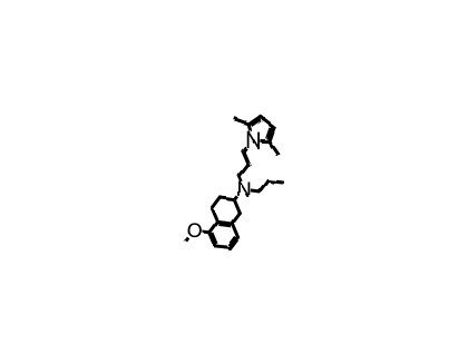 CCCN(CCCn1c(C)ccc1C)C1CCc2c(cccc2OC)C1